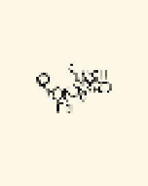 CCCCN1C(=O)[C@@H]([C@H](O)C2CCCCC2)NC(=O)C12CCN(C1(C)CCN(Cc3ccccc3)CC1)CC2.Cl.Cl